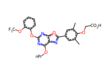 CCCOc1nc(Oc2ccccc2OC(F)(F)F)nc2oc(-c3cc(C)c(OCC(=O)O)c(C)c3)nc12